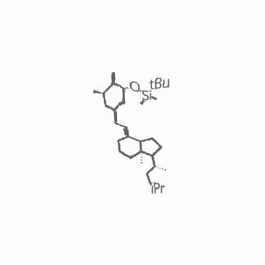 C=C1[C@H](C)C/C(=C/C=C2\CCC[C@@]3(C)C2CCC3[C@H](C)CC(C)C)C[C@H]1O[Si](C)(C)C(C)(C)C